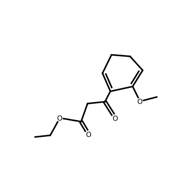 CCOC(=O)CC(=O)C1=CCCC=C1OC